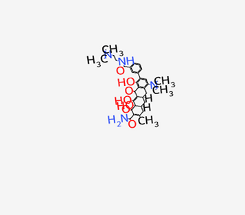 CC1=C(C(N)=O)C(=O)[C@@]2(O)C(O)=C3C(=O)c4c(O)c(-c5cccc(C(=O)NCCN(C)C)c5)cc(N(C)C)c4C[C@H]3C[C@H]2C1